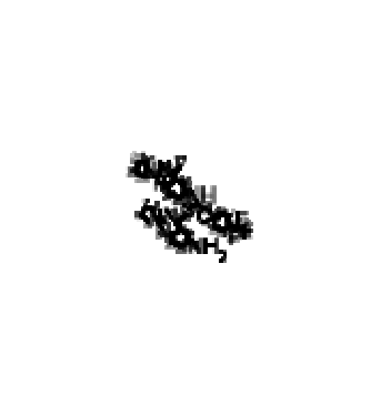 Cc1nc(N2CCCC2)nc2ccc(N)cc12.Cc1nc(N2CCCC2)nc2ccc(NC(=O)COc3ccc(C(F)(F)F)cc3)cc12